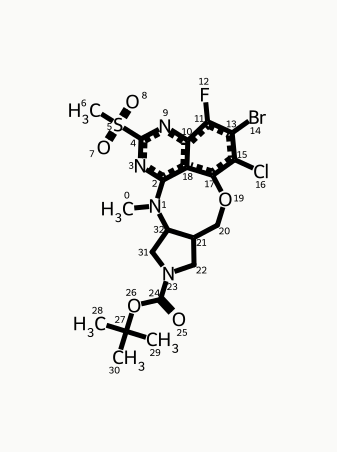 CN1c2nc(S(C)(=O)=O)nc3c(F)c(Br)c(Cl)c(c23)OCC2CN(C(=O)OC(C)(C)C)CC21